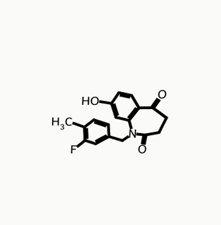 Cc1ccc(CN2C(=O)CCC(=O)c3ccc(O)cc32)cc1F